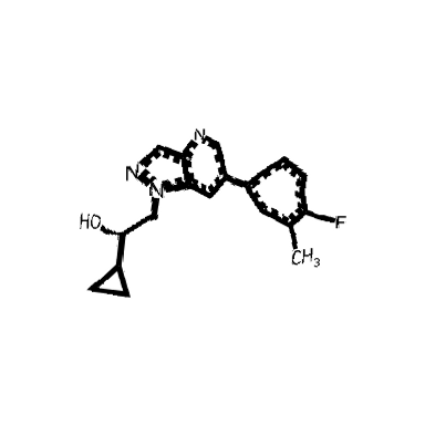 Cc1cc(-c2cnc3cnn(C[C@H](O)C4CC4)c3c2)ccc1F